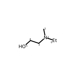 CCN(C)CCO